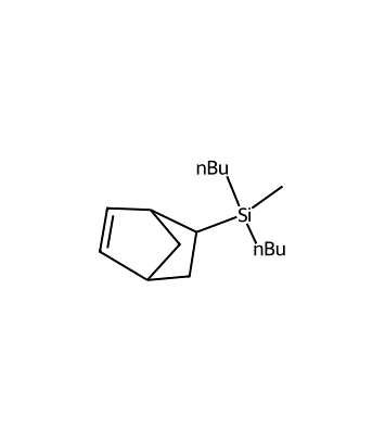 CCCC[Si](C)(CCCC)C1CC2C=CC1C2